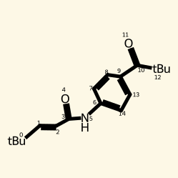 CC(C)(C)/C=C/C(=O)Nc1ccc(C(=O)C(C)(C)C)cc1